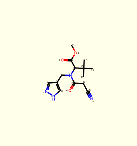 COC(=O)C(N(Cc1cn[nH]c1)C(=O)CC#N)C(C)(C)C